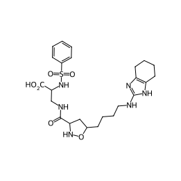 O=C(O)C(CNC(=O)C1CC(CCCCNc2nc3c([nH]2)CCCC3)ON1)NS(=O)(=O)c1ccccc1